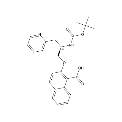 CC(C)(C)OC(=O)N[C@@H](COc1ccc2ccccc2c1C(=O)O)Cc1ccccn1